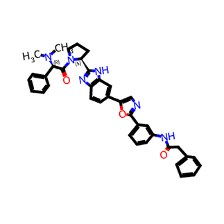 CN(C)[C@@H](C(=O)N1CCC[C@H]1c1nc2ccc(-c3cnc(-c4cccc(NC(=O)Cc5ccccc5)c4)o3)cc2[nH]1)c1ccccc1